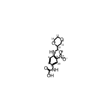 O=C(O)Nc1ccc(NCC2COCCO2)c([N+](=O)[O-])c1